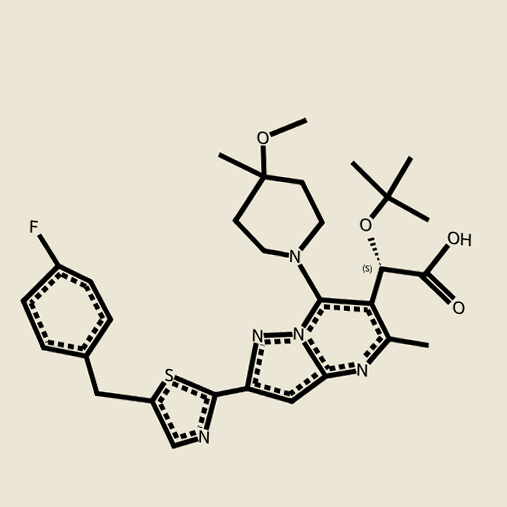 COC1(C)CCN(c2c([C@H](OC(C)(C)C)C(=O)O)c(C)nc3cc(-c4ncc(Cc5ccc(F)cc5)s4)nn23)CC1